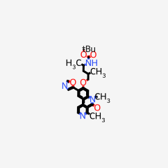 Cc1nccc2c1c(=O)n(C)c1cc(OCC(C)CC(C)NC(=O)OC(C)(C)C)c(-c3cnco3)cc21